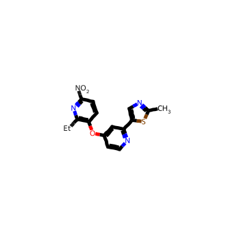 CCc1nc([N+](=O)[O-])ccc1Oc1ccnc(-c2cnc(C)s2)c1